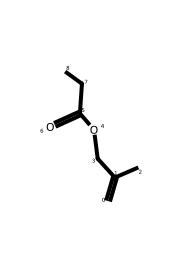 C=C(C)COC(=O)[CH]C